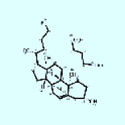 CC(C)CCC[C@@H](C)[C@H]1CC[C@H]2[C@@H]3CC=C4C[C@@H](O)CC[C@]4(C)[C@H]3CC[C@]12C.CCCCCCCCCCCCCC(=O)O